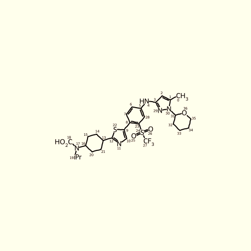 Cc1cc(Nc2ccc(-c3cnc(C4CCC(N(C(=O)O)C(C)C)CC4)s3)c(S(=O)(=O)C(F)(F)F)c2)nn1C1CCCCO1